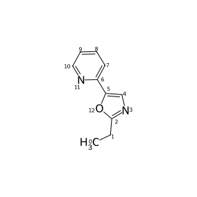 CCc1ncc(-c2ccccn2)o1